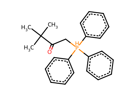 CC(C)(C)C(=O)C[PH](c1ccccc1)(c1ccccc1)c1ccccc1